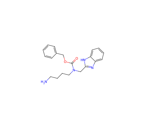 NCCCCN(Cc1nc2ccccc2[nH]1)C(=O)OCc1ccccc1